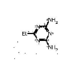 CCc1nc(N)nc(N)n1